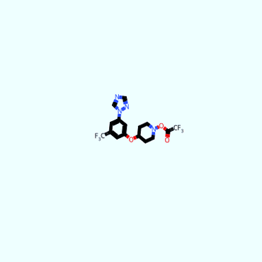 O=C(ON1CCC(Oc2cc(-n3cncn3)cc(C(F)(F)F)c2)CC1)C(F)(F)F